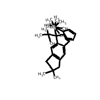 CC1(C)Cc2cc3c(cc2C1)[C](C(C)(C)C)([Hf]([CH3])([CH3])([CH3])([CH3])([CH3])([CH3])([CH3])[CH]1C=CC=C1)C=C3